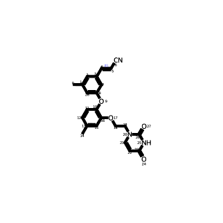 Cc1cc(/C=C/C#N)cc(Oc2ccc(C)cc2OCCn2ccc(=O)[nH]c2=O)c1